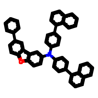 c1ccc(-c2ccc3oc4ccc(N(c5ccc(-c6cccc7ccccc67)cc5)c5ccc(-c6cccc7ccccc67)cc5)cc4c3c2)cc1